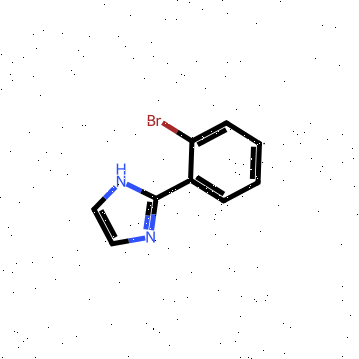 Brc1c[c]ccc1-c1ncc[nH]1